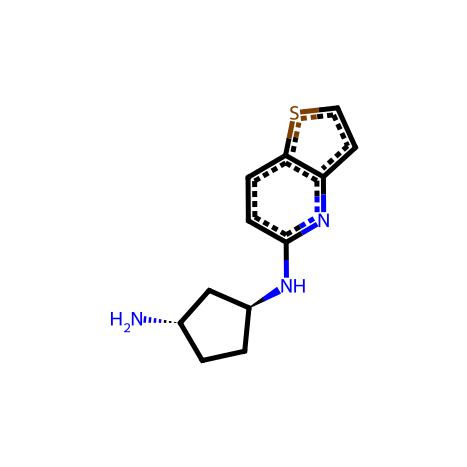 N[C@H]1CC[C@H](Nc2ccc3sccc3n2)C1